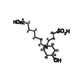 CCCCCCCCCCCCCCCC[N+]1(CCCS(=O)(=O)O)CCC(O)CC1